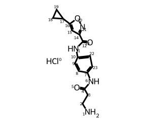 Cl.NCCC(=O)Nc1ccc(NC(=O)c2cc(C3CC3)on2)cc1